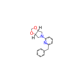 c1ccc(Cc2cccc(N3C[C@@H]4OCO[C@@H]4C3)n2)cc1